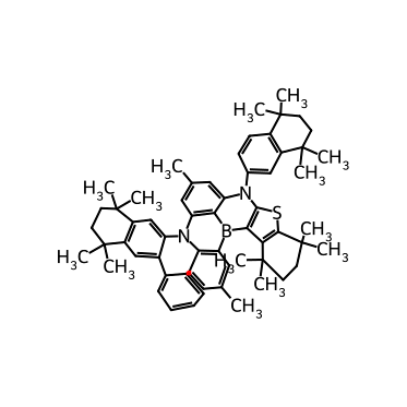 Cc1ccc2c(c1)B1c3c(cc(C)cc3N(c3ccc4c(c3)C(C)(C)CCC4(C)C)c3sc4c(c31)C(C)(C)CCC4(C)C)N2c1cc2c(cc1-c1ccccc1)C(C)(C)CCC2(C)C